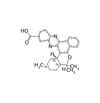 C[C@H]1CC[C@H]2[C@H](C1)c1c(c3ccccc3c3nc4ccc(C(=O)O)cc4nc13)OC2(C)C